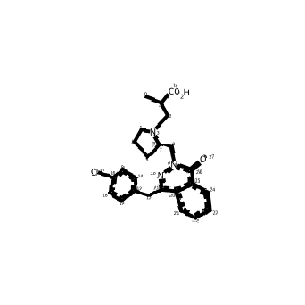 CC(CN1CCC[C@@H]1Cn1nc(Cc2ccc(Cl)cc2)c2ccccc2c1=O)C(=O)O